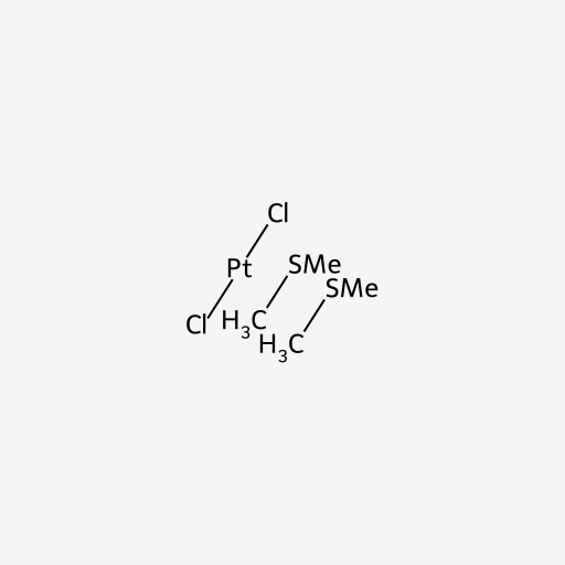 CSC.CSC.[Cl][Pt][Cl]